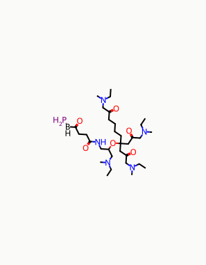 CCN(C)CC(=O)CCCCC(CC(=O)CN(C)CC)(CC(=O)CN(C)CC)OC(CNC(=O)CCC(=O)BP)CN(C)CC